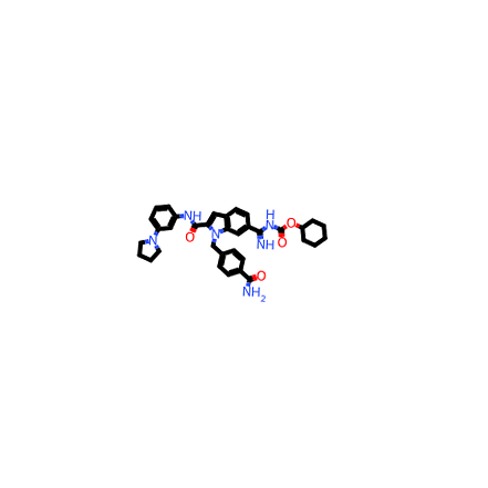 N=C(NC(=O)OC1CCCCC1)c1ccc2cc(C(=O)Nc3cccc(N4CCCC4)c3)n(Cc3ccc(C(N)=O)cc3)c2c1